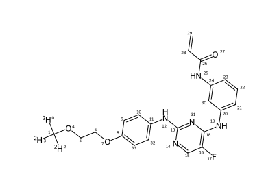 [2H]C([2H])([2H])OCCOc1ccc(Nc2ncc(F)c(Nc3cccc(NC(=O)C=C)c3)n2)cc1